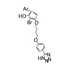 CC(=O)c1ccc(OCCCCOc2ccc(-c3nnn[nH]3)cc2)c(Br)c1O